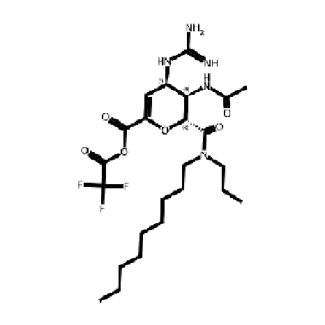 CCCCCCCCCN(CCC)C(=O)[C@@H]1OC(C(=O)OC(=O)C(F)(F)F)=C[C@@H](NC(=N)N)[C@H]1NC(C)=O